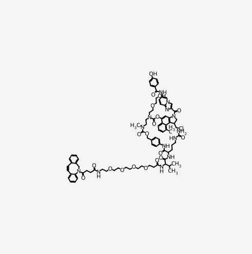 Cc1cccc2c(OC(=O)N(CCOCCO)CCN(C)C(=O)OCc3ccc(NC(=O)C(CCCNC(N)=O)NC(=O)C(NC(=O)CCOCCOCCOCCOCCNC(=O)CCC(=O)N4Cc5ccccc5C#Cc5ccccc54)C(C)C)cc3)cc3c(c12)C(CCl)CN3C(=O)c1cn2cc(NC(=O)c3ccc(O)cc3)ccc2n1